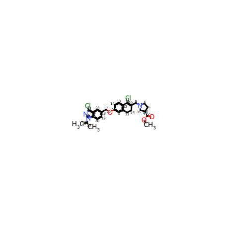 COC(=O)[C@@H]1CCN(CC2=C(Cl)c3ccc(OCc4ccc5c(c4)c(Cl)nn5C(C)C)cc3CC2)C1